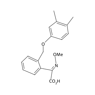 CO/N=C(/C(=O)O)c1ccccc1COc1ccc(C)c(C)c1